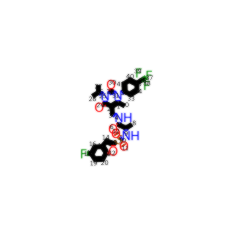 Cc1c(CNC(=O)C(C)NS(=O)(=O)c2cc3cc(F)ccc3o2)c(=O)n(C(C)C)c(=O)n1-c1ccc(C(F)(F)F)cc1